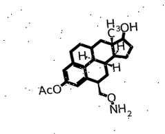 CC(=O)Oc1cc2c3c(c1)[C@H](CON)C[C@@H]1[C@@H]3C(CC2)C[C@]2(C)C(O)CC[C@@H]12